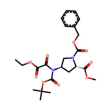 CCOC(=O)C(=O)N(C(=O)OC(C)(C)C)[C@@H]1C[C@@H](C(=O)OC)N(C(=O)OCc2ccccc2)C1